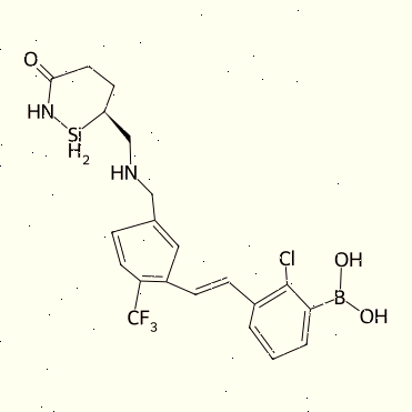 O=C1CC[C@@H](CNCc2ccc(C(F)(F)F)c(/C=C/c3cccc(B(O)O)c3Cl)c2)[SiH2]N1